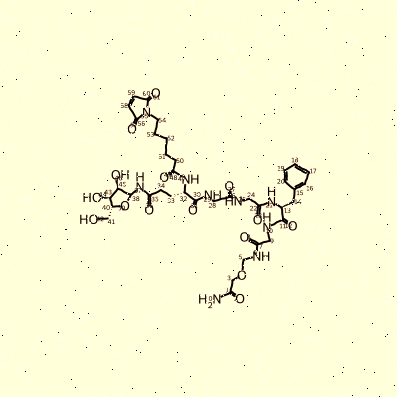 NC(=O)COCNC(=O)CNC(=O)[C@H](Cc1ccccc1)NC(=O)CNC(=O)CNC(=O)[C@H](CCC(=O)NC1O[C@H](CO)[C@@H](O)[C@H]1O)NC(=O)CCCCCN1C(=O)C=CC1=O